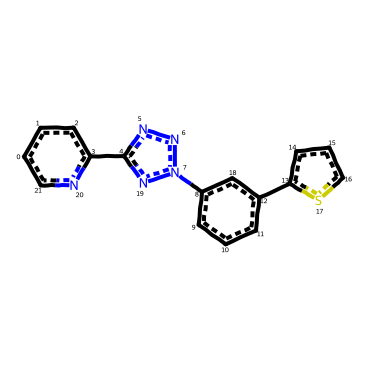 c1ccc(-c2nnn(-c3cccc(-c4cccs4)c3)n2)nc1